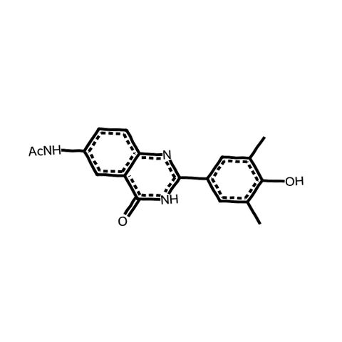 CC(=O)Nc1ccc2nc(-c3cc(C)c(O)c(C)c3)[nH]c(=O)c2c1